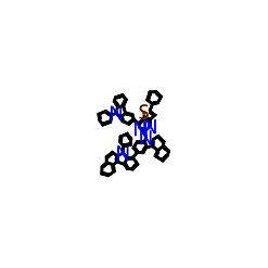 c1ccc(-c2cc3nc(-n4c5ccc(-c6cccc7c8c9ccccc9ccc8n(-c8ccccc8)c67)cc5c5c6ccccc6ccc54)nc(-c4ccc5c(c4)c4ccccc4n5-c4ccccc4)c3s2)cc1